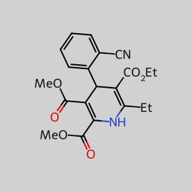 CCOC(=O)C1=C(CC)NC(C(=O)OC)=C(C(=O)OC)C1c1ccccc1C#N